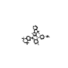 Cc1ccc2c(c1)N(c1ccc(C(C)(C)C)cc1)c1c(sc3c1C(C)(C)c1ccccc1-3)B2c1ccc2c(c1)C(C)(C)CCC2(C)C